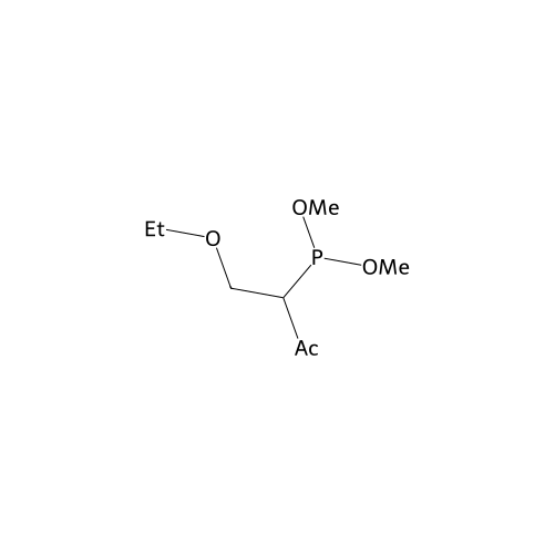 CCOCC(C(C)=O)P(OC)OC